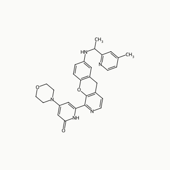 Cc1ccnc(C(C)Nc2ccc3c(c2)Cc2ccnc(-c4cc(N5CCOCC5)cc(=O)[nH]4)c2O3)c1